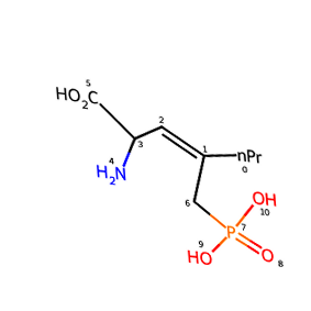 CCCC(=CC(N)C(=O)O)CP(=O)(O)O